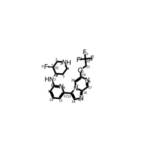 F[C@H]1CNCC[C@@H]1Nc1cccc(-c2cnc3cnc(OCC(F)(F)F)cn23)n1